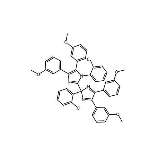 COc1cccc(C2=NC(c3ccccc3Cl)(c3nc(-c4cccc(OC)c4)c(-c4cccc(OC)c4)n3-c3ccccc3Cl)N=C2c2cccc(OC)c2)c1